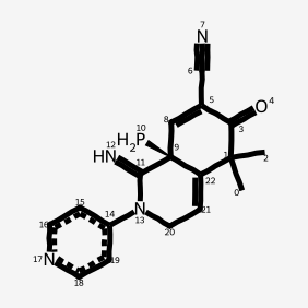 CC1(C)C(=O)C(C#N)=C[C@@]2(P)C(=N)N(c3ccncc3)CC=C12